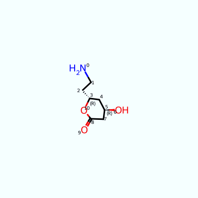 NCC[C@@H]1C[C@@H](O)CC(=O)O1